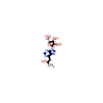 CC(O)Cc1ncnc2c1ncn2[C@@H]1O[C@H](CO)[C@H](O)C1O